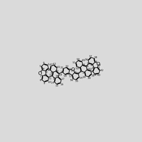 c1ccc2c(c1)oc1cccc(-c3c4ccccc4c(-c4ccc5oc6c(-c7c8ccccc8c(-c8cccc9oc%10ccccc%10c89)c8ccccc78)cccc6c5c4)c4ccccc34)c12